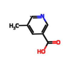 Cc1[c]ncc(C(=O)O)c1